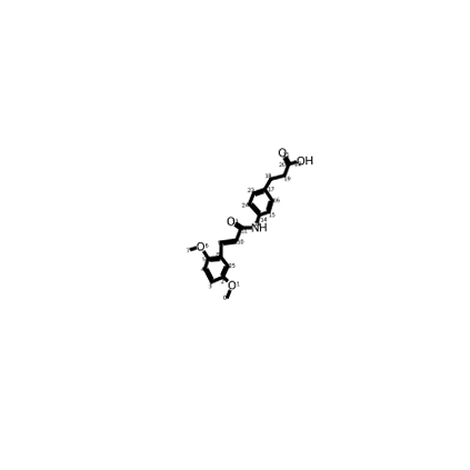 COc1ccc(OC)c(C=CC(=O)Nc2ccc(CCC(=O)O)cc2)c1